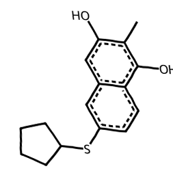 Cc1c(O)cc2cc(SC3CCCC3)ccc2c1O